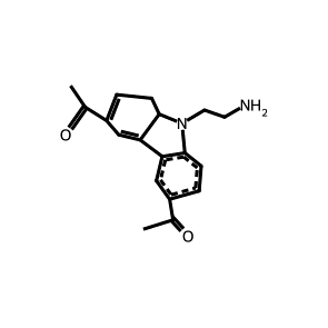 CC(=O)C1=CCC2C(=C1)c1cc(C(C)=O)ccc1N2CCN